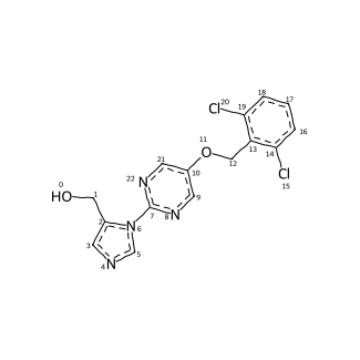 OCc1cncn1-c1ncc(OCc2c(Cl)cccc2Cl)cn1